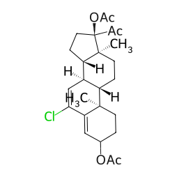 CC(=O)OC1C=C2C(Cl)=C[C@@H]3[C@H](CC[C@@]4(C)[C@H]3CC[C@]4(OC(C)=O)C(C)=O)[C@@]2(C)CC1